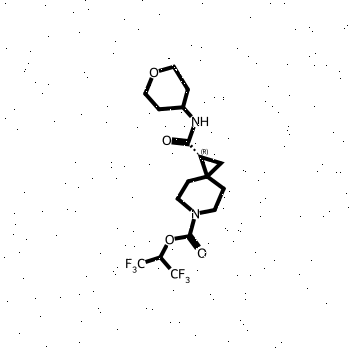 O=C(NC1CCOCC1)[C@@H]1CC12CCN(C(=O)OC(C(F)(F)F)C(F)(F)F)CC2